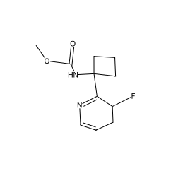 COC(=O)NC1(C2=NC=CCC2F)CCC1